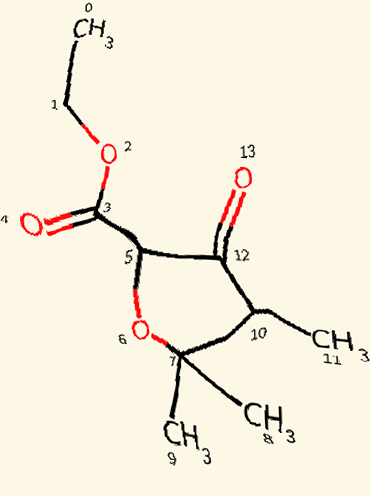 CCOC(=O)C1OC(C)(C)C(C)C1=O